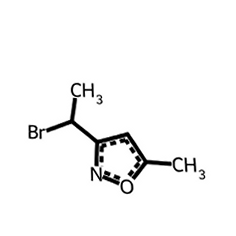 Cc1cc(C(C)Br)no1